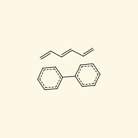 C=CC=CC=C.c1ccc(-c2ccccc2)cc1